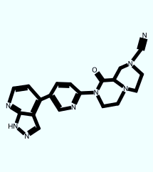 N#CN1CCN2CCN(c3ccc(-c4ccnc5[nH]ncc45)cn3)C(=O)C2C1